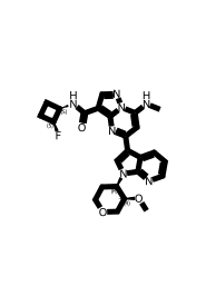 CNc1cc(-c2cn([C@@H]3CCOC[C@@H]3OC)c3ncccc23)nc2c(C(=O)N[C@H]3CC[C@@H]3F)cnn12